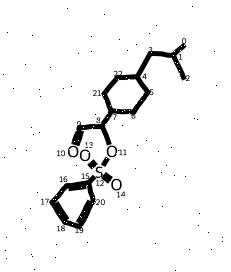 CC(C)CC1CCC(C(C=O)OS(=O)(=O)c2ccccc2)CC1